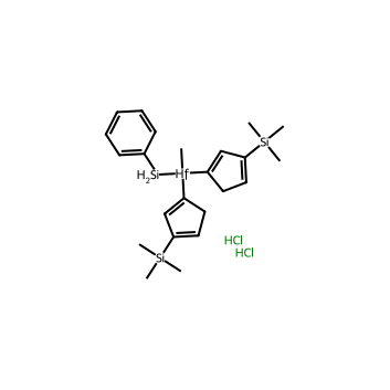 C[Si](C)(C)C1=CC[C]([Hf]([CH3])([SiH2]c2ccccc2)[C]2=CC([Si](C)(C)C)=CC2)=C1.Cl.Cl